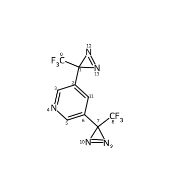 FC(F)(F)C1(c2cncc(C3(C(F)(F)F)N=N3)c2)N=N1